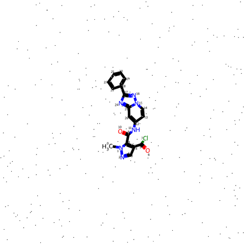 Cn1ncc(C(=O)Cl)c1C(=O)Nc1ccn2nc(-c3ccccc3)nc2c1